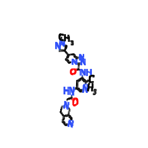 Cc1ncc(NC(=O)CN2CCc3ccncc3C2)cc1NC(=O)c1nnc2cc(-c3cnn(C)c3)ccn12